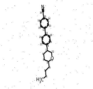 CCCCC1CCC(c2ccc(-c3ccc(C#N)cc3)cc2)CO1